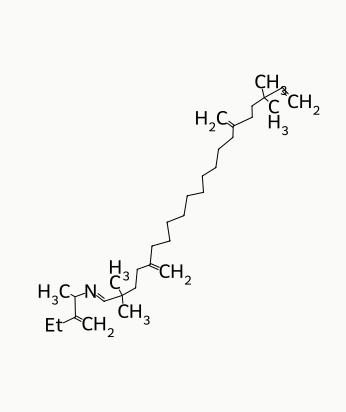 C=CC(C)(C)CCC(=C)CCCCCCCCCCC(=C)CCC(C)(C)/C=N/C(C)C(=C)CC